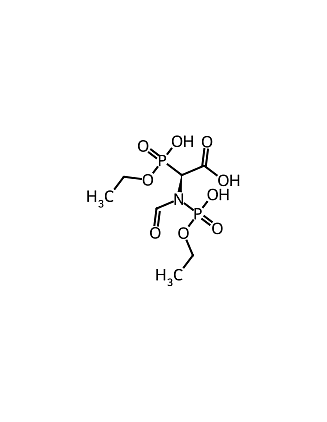 CCOP(=O)(O)[C@@H](C(=O)O)N(C=O)P(=O)(O)OCC